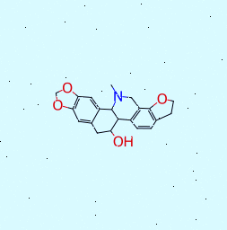 CN1Cc2c(ccc3c2OCC3)C2C(O)Cc3cc4c(cc3C21)OCO4